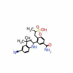 CC(Cc1ccc(C(N)=O)cc1C1CC(C)(C)c2cc(C#N)ccc2N1)S(=O)(=O)O